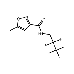 Cc1cc(C(=O)NCC(F)(F)C(C)(C)C)no1